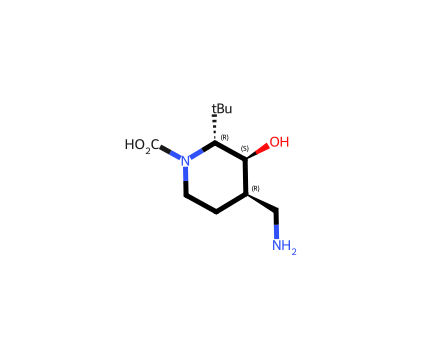 CC(C)(C)[C@@H]1[C@@H](O)[C@@H](CN)CCN1C(=O)O